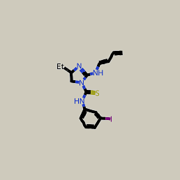 C=CC=CNC1=NC(CC)CN1C(=S)Nc1cccc(I)c1